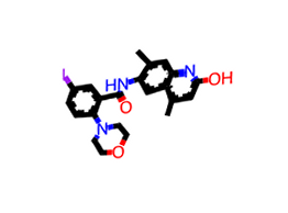 Cc1cc2nc(O)cc(C)c2cc1NC(=O)c1cc(I)ccc1N1CCOCC1